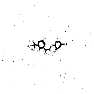 C/N=C1/C=C(Cl)C=C/C1=N/C(C)C(C)c1cc(C)cc(C(C)(C)C)c1O